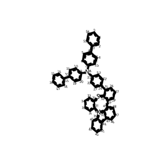 c1ccc(-c2ccc(N(c3ccc(-c4ccccc4)cc3)c3ccc(-c4cccc5c4sc4ccccc4n4c6ccccc6c6cccc5c64)cc3)cc2)cc1